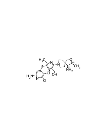 Cc1nc(N2CCC3(CC2)CO[C@@H](C)[C@H]3N)c(CO)nc1Sc1cc(N)nc(Cl)c1Cl